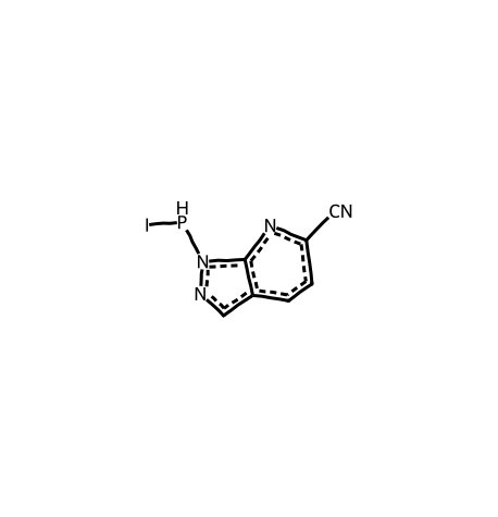 N#Cc1ccc2cnn(PI)c2n1